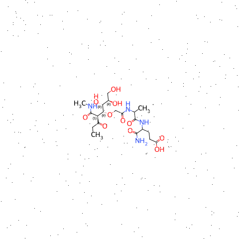 CCC(=O)[C@@H](C(=O)NC)[C@@H](OCC(=O)NC(C)C(=O)NC(CCC(=O)O)C(N)=O)[C@H](O)[C@H](O)CO